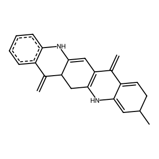 C=C1C2=CCC(C)C=C2NC2=C1C=C1Nc3ccccc3C(=C)C1C2